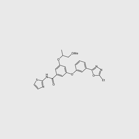 CCc1nnc(-c2cccc(Oc3cc(OC(C)COC)cc(C(=O)Nc4nccs4)c3)c2)o1